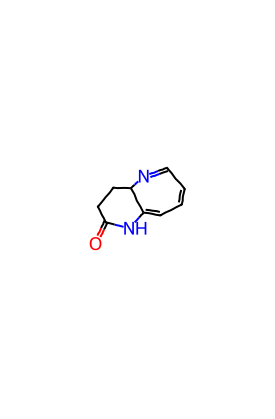 O=C1CCC2N=CC=CC=C2N1